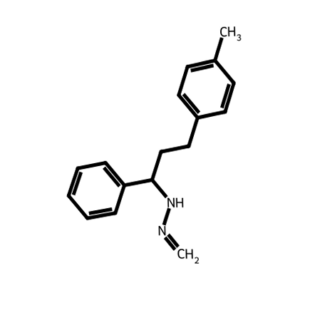 C=NNC(CCc1ccc(C)cc1)c1ccccc1